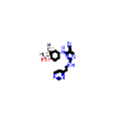 CC1(C)C[C@H](Nc2nc(NCCc3ccncn3)ncc2C#N)CC[C@@H]1O